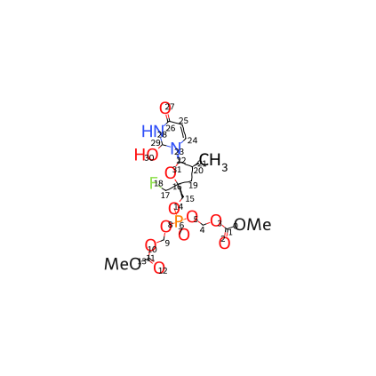 COC(=O)OCOP(=O)(OCOC(=O)OC)OC[C@]1(CF)C[C@H](C)[C@H](N2C=CC(=O)NC2O)O1